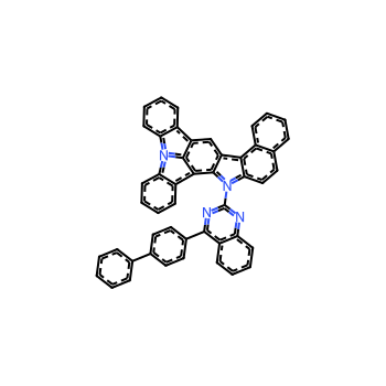 c1ccc(-c2ccc(-c3nc(-n4c5ccc6ccccc6c5c5cc6c7ccccc7n7c8ccccc8c(c54)c67)nc4ccccc34)cc2)cc1